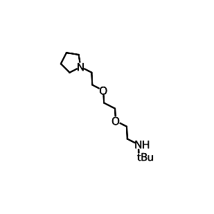 CC(C)(C)NCCOCCOCCN1CCCC1